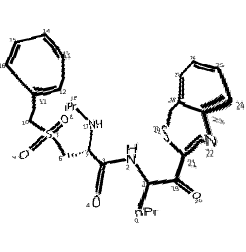 CCCC(NC(=O)[C@H](CS(=O)(=O)Cc1ccccc1)NC(C)C)C(=O)c1nc2ccccc2s1